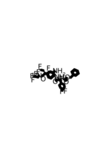 Nc1c(NC(=O)[C@@H](NC(=O)OCc2ccccc2)C2CCC(F)(F)CC2)ccc([C@H](CC(F)F)C(=O)NCC(F)(F)F)c1F